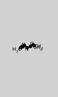 CN1CCn2c(cc3c(-c4cncc(-c5ccc(N6CC(C)(C)CCC6=O)cc5)c4)ccnc32)C1